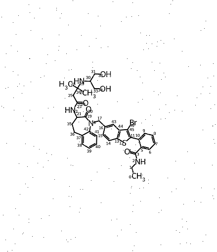 CCNC(=O)c1ccccc1-c1sc2ccc(CN3C(=O)C(NC(=O)CC(C)(C)NC(CO)CO)CCc4ccccc43)cc2c1Br